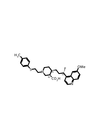 COc1ccc2nccc([C@@H](F)CC[C@@H]3CCN(CCSc4ccc(C)cc4)C[C@@H]3C(=O)O)c2c1